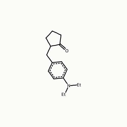 CCN(CC)c1ccc(CC2CCCC2=O)cc1